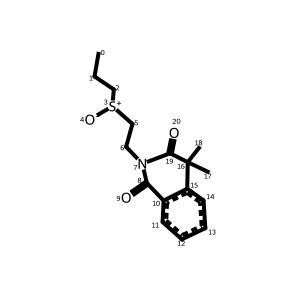 CCC[S+]([O-])CCN1C(=O)c2ccccc2C(C)(C)C1=O